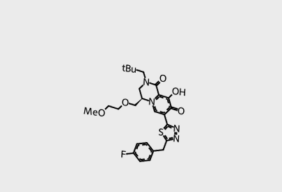 COCCOC[C@H]1CN(CC(C)(C)C)C(=O)c2c(O)c(=O)c(-c3nnc(Cc4ccc(F)cc4)s3)cn21